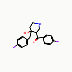 O=C(c1ccc(I)cc1)C1CNCCC1(O)Cc1ccc(I)cc1